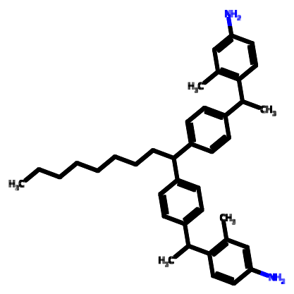 CCCCCCCCC(c1ccc(C(C)c2ccc(N)cc2C)cc1)c1ccc(C(C)c2ccc(N)cc2C)cc1